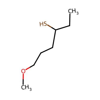 CCC(S)CCCOC